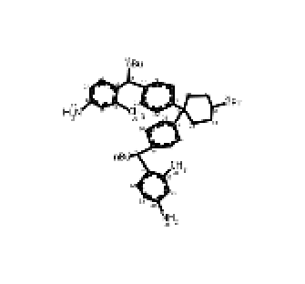 CCCCC(c1ccc(C2(c3ccc(C(CCCC)c4ccc(N)cc4C)cc3)CCC(CCC)CC2)cc1)c1ccc(N)cc1C